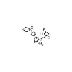 CN1CCN(C(=O)c2ccc(-c3cnc(N)c(OCCc4c(Cl)ccc(F)c4Cl)n3)nc2)CC1